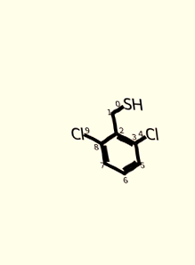 SCc1c(Cl)cccc1Cl